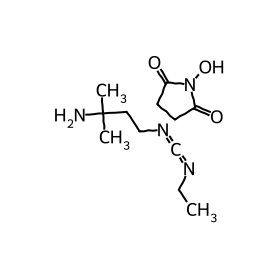 CCN=C=NCCC(C)(C)N.O=C1CCC(=O)N1O